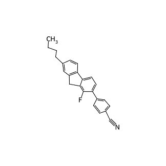 CCCCc1ccc2c(c1)Cc1c-2ccc(-c2ccc(C#N)cc2)c1F